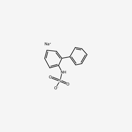 O=S(=O)([O-])Nc1ccccc1-c1ccccc1.[Na+]